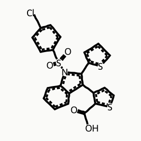 O=C(O)c1sccc1-c1c(-c2cccs2)n(S(=O)(=O)c2ccc(Cl)cc2)c2ccccc12